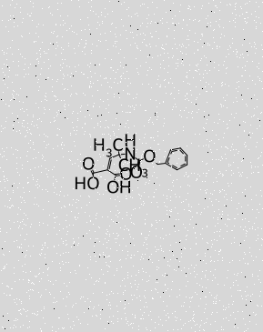 CC(C)(C=C(C(=O)O)C(=O)O)NC(=O)OCc1ccccc1